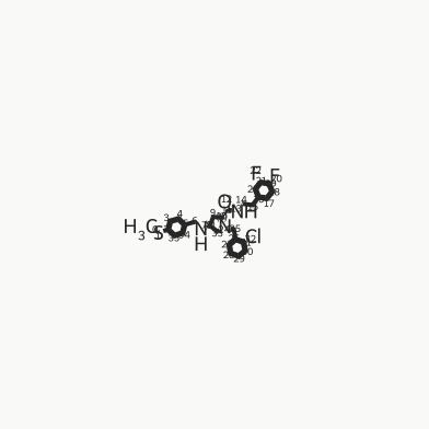 CSc1ccc(CN[C@H]2C[C@@H](C(=O)NCCc3ccc(F)c(F)c3)N(Cc3ccccc3Cl)C2)cc1